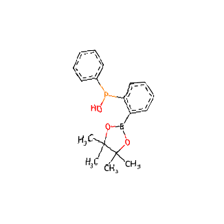 CC1(C)OB(c2ccccc2P(O)c2ccccc2)OC1(C)C